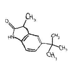 CC1C(=O)Nc2ccc(C(C)(C)C)cc21